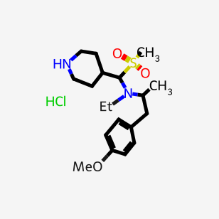 CCN(C(C)Cc1ccc(OC)cc1)C(C1CCNCC1)S(C)(=O)=O.Cl